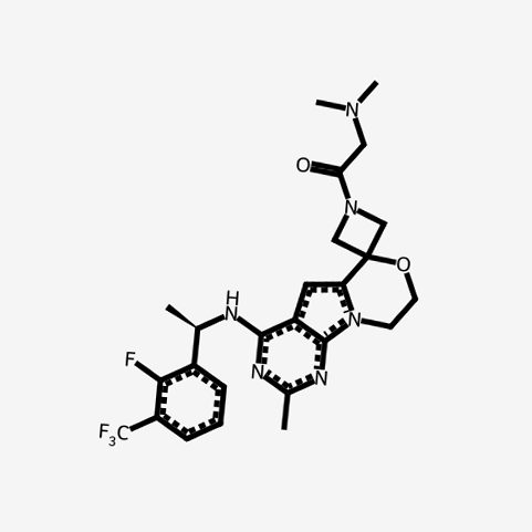 Cc1nc(N[C@H](C)c2cccc(C(F)(F)F)c2F)c2cc3n(c2n1)CCOC31CN(C(=O)CN(C)C)C1